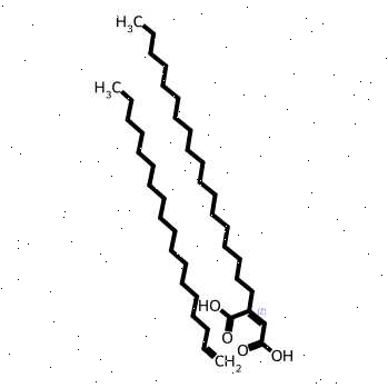 C=CCCCCCCCCCCCCCCCC.CCCCCCCCCCCCCCCCCC/C(=C/C(=O)O)C(=O)O